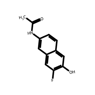 CC(=O)Nc1ccc2cc(O)c(F)cc2c1